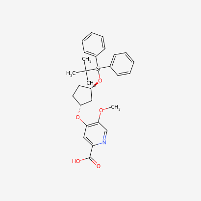 COc1cnc(C(=O)O)cc1O[C@@H]1CC[C@@H](O[Si](c2ccccc2)(c2ccccc2)C(C)(C)C)C1